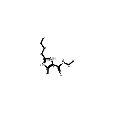 CCCCc1nc(C)c(C(=S)OCC)[nH]1